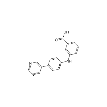 O=C(O)c1cccc(Nc2ccc(-c3cncnc3)cc2)c1